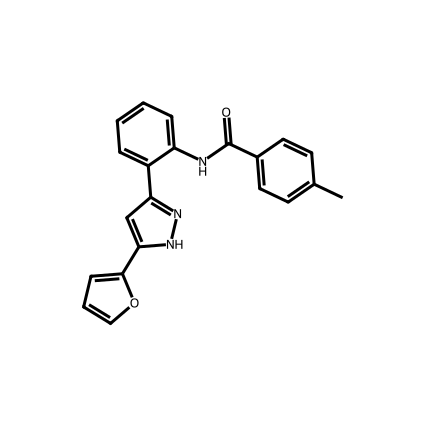 Cc1ccc(C(=O)Nc2ccccc2-c2cc(-c3ccco3)[nH]n2)cc1